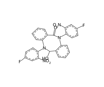 O=C1c2ccccc2N(c2ccc(F)cc2[N+](=O)[O-])C(O)c2ccccc2N1c1ccc(F)cc1[N+](=O)[O-]